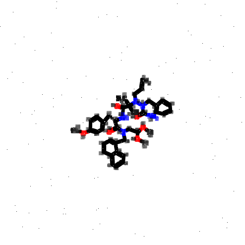 C=CCN(N(Cc1ccccc1)C(N)=O)C(C)(C)C(=O)N[C@@H](Cc1ccc(OC(C)(C)C)cc1)C(=O)N(Cc1cccc2ccccc12)CC(OCC)OCC